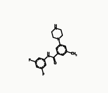 Cc1cc(C(=O)Nc2cc(F)cc(F)c2)cc(N2CCNCC2)c1